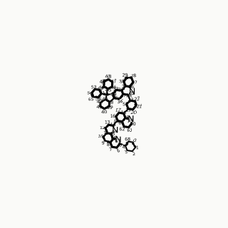 C1=CCCC(c2ccc3ccc4ccc(-c5ccc(-c6cccc(-c7nc8ccccc8c8cc9c(cc78)-c7ccccc7C9(c7ccccc7)c7ccccc7)c6)c6ncccc56)nc4c3n2)=C1